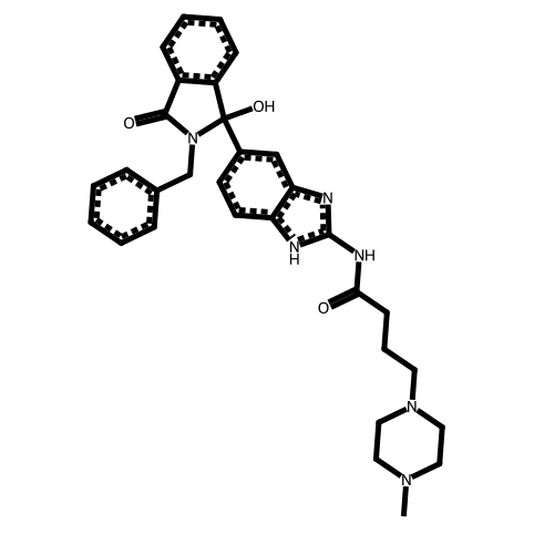 CN1CCN(CCCC(=O)Nc2nc3cc(C4(O)c5ccccc5C(=O)N4Cc4ccccc4)ccc3[nH]2)CC1